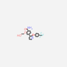 NC(=O)c1ccc(-c2cccnc2Oc2ccc(C(F)(F)F)cc2)cc1OCCO